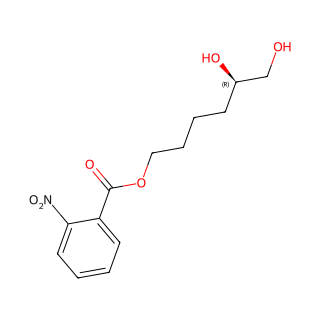 O=C(OCCCC[C@@H](O)CO)c1ccccc1[N+](=O)[O-]